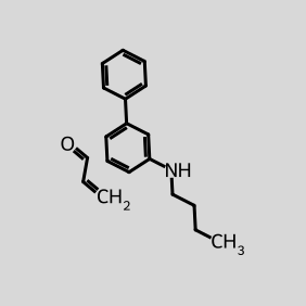 C=CC=O.CCCCNc1cccc(-c2ccccc2)c1